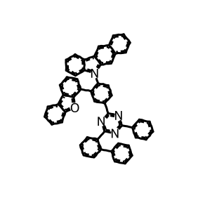 c1ccc(-c2nc(-c3ccc(-n4c5ccccc5c5cc6ccccc6cc54)c(-c4cccc5c4oc4ccccc45)c3)nc(-c3ccccc3-c3ccccc3)n2)cc1